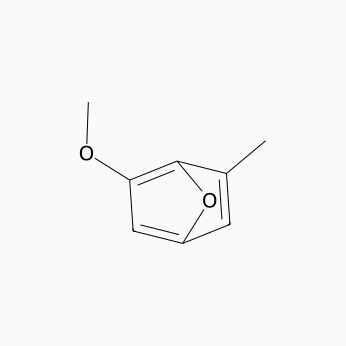 COc1cc2cc(C)c1o2